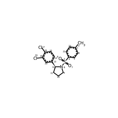 Cc1ccc(S(=O)(=O)N2CCC[C@H]2c2ccc(Cl)c(Cl)c2)cc1